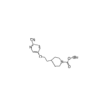 CC(C)(C)OC(=O)N1CCC(CCOc2ccc(C#N)nc2)CC1